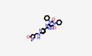 CN1CC(CNc2ccc(-c3nc4c([nH]3)c(=O)n(C3CCCCC3)c(=O)n4C3CCCCC3)cn2)CC1=O